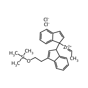 C[CH]=[Zr+2][C]1(C2C=C(CCO[Si](C)(C)C)c3ccccc32)C=Cc2ccccc21.[Cl-].[Cl-]